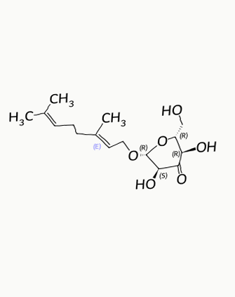 CC(C)=CCC/C(C)=C/CO[C@@H]1O[C@H](CO)[C@@H](O)C(=O)[C@H]1O